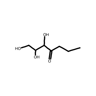 CCCC(=O)C(O)C(O)CO